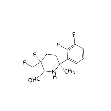 C[C@@]1(c2cccc(F)c2F)CCC(F)(CF)C(C=O)N1